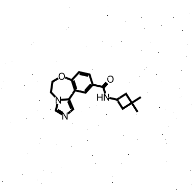 CC1(C)CC(NC(=O)c2ccc3c(c2)-c2cncn2CCO3)C1